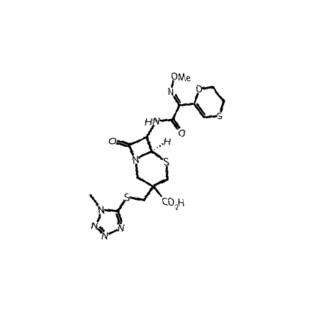 CON=C(C(=O)NC1C(=O)N2CC(CSc3nnnn3C)(C(=O)O)CS[C@H]12)C1=CSCCO1